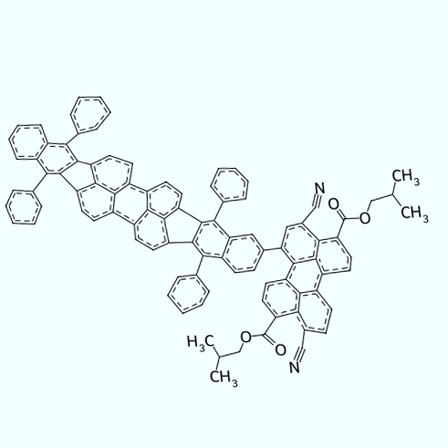 CC(C)COC(=O)c1ccc2c3c(-c4ccc5c(-c6ccccc6)c6c(c(-c7ccccc7)c5c4)-c4ccc5c7ccc8c9c(ccc(c%10ccc-6c4c%105)c97)-c4c-8c(-c5ccccc5)c5ccccc5c4-c4ccccc4)cc(C#N)c4c(C(=O)OCC(C)C)ccc(c5ccc(C#N)c1c52)c43